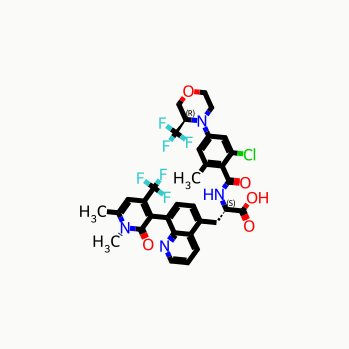 Cc1cc(N2CCOC[C@@H]2C(F)(F)F)cc(Cl)c1C(=O)N[C@@H](Cc1ccc(-c2c(C(F)(F)F)cc(C)n(C)c2=O)c2ncccc12)C(=O)O